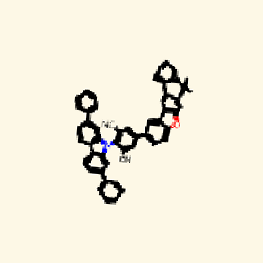 CC1(C)c2ccccc2-c2cc3c(cc21)oc1ccc(-c2cc(C#N)c(-n4c5cc(-c6ccccc6)ccc5c5ccc(-c6ccccc6)cc54)c(C#N)c2)cc13